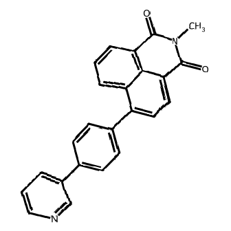 CN1C(=O)c2cccc3c(-c4ccc(-c5cccnc5)cc4)ccc(c23)C1=O